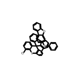 Clc1cccc2c1Sc1cccc(N(c3ccccc3)c3ccc4c(c3)oc3ccccc34)c1C21c2ccccc2-c2ccccc21